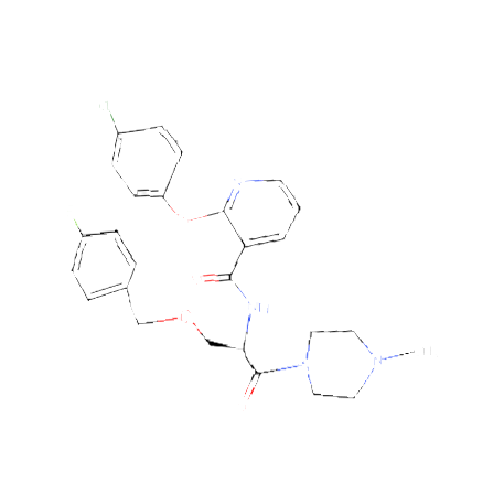 CN1CCN(C(=O)[C@@H](COCc2ccc(F)cc2)NC(=O)c2cccnc2Oc2ccc(Cl)cc2)CC1